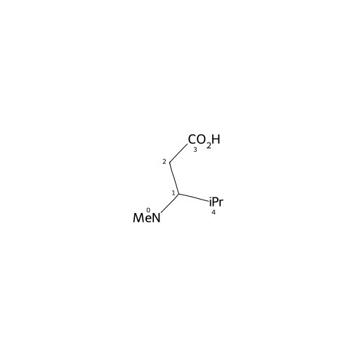 CNC(CC(=O)O)C(C)C